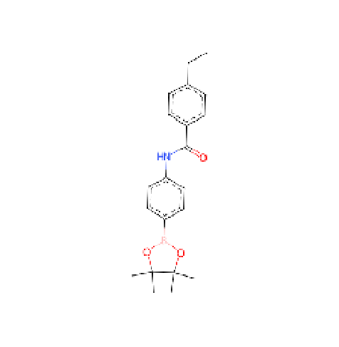 CCc1ccc(C(=O)Nc2ccc(B3OC(C)(C)C(C)(C)O3)cc2)cc1